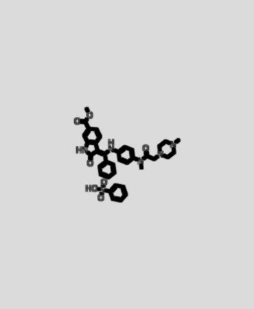 COC(=O)c1ccc2c(c1)NC(=O)C2=C(Nc1ccc(N(C)C(=O)CN2CCN(C)CC2)cc1)c1ccccc1.O=S(=O)(O)c1ccccc1